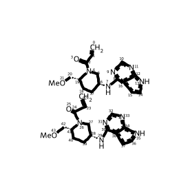 C=CC(=O)N1C[C@H](Nc2ncnc3[nH]ccc23)CC[C@@H]1COC.C=CC(=O)N1C[C@H](Nc2ncnc3[nH]ccc23)CC[C@@H]1COC